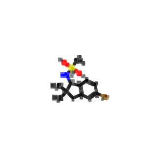 CC1(C)Cc2cc(Br)ccc2C1NS(C)(=O)=O